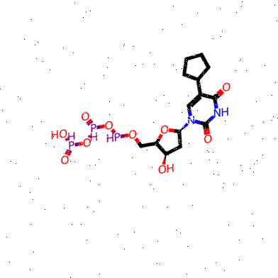 O=c1[nH]c(=O)n([C@H]2C[C@@H](O)C(COPO[PH](=O)O[PH](=O)O)O2)cc1C1CCCC1